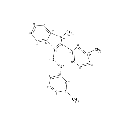 Cc1cccc(N=Nc2c(-c3cccc(C)c3)n(C)c3ccccc23)c1